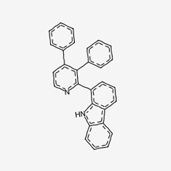 c1ccc(-c2ccnc(-c3cccc4c3[nH]c3ccccc34)c2-c2ccccc2)cc1